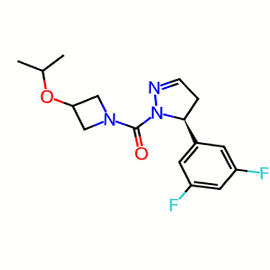 CC(C)OC1CN(C(=O)N2N=CC[C@H]2c2cc(F)cc(F)c2)C1